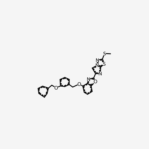 CSc1nn2cc(-c3nc4c(OCc5cccc(OCc6ccccc6)c5)cccc4o3)nc2s1